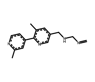 C=NCNCc1cnc(-c2ccnc(C)c2)c(C)c1